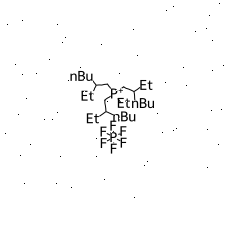 CCCCC(CC)C[P+](CC)(CC(CC)CCCC)CC(CC)CCCC.F[P-](F)(F)(F)(F)F